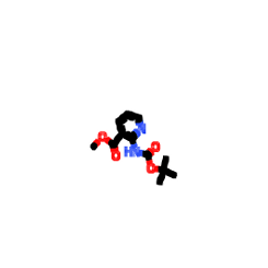 COC(=O)c1cccnc1NC(=O)OC(C)(C)C